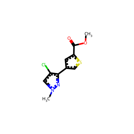 COC(=O)c1cc(-c2nn(C)cc2Cl)cs1